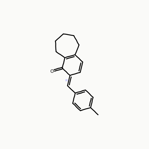 Cc1ccc(/C=C2\C=CC3=C(CCCCC3)C2=O)cc1